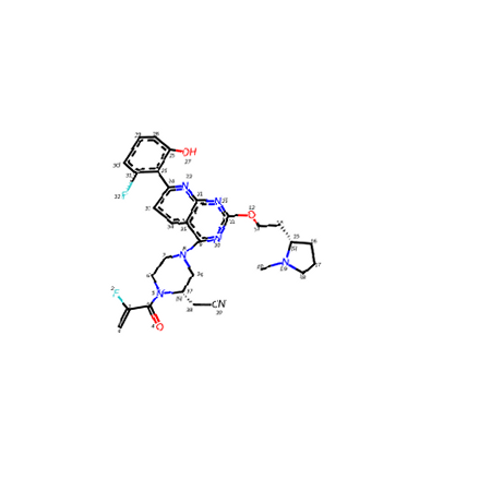 C=C(F)C(=O)N1CCN(c2nc(OCC[C@@H]3CCCN3C)nc3nc(-c4c(O)cccc4F)ccc23)C[C@@H]1CC#N